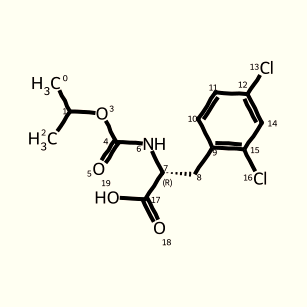 CC(C)OC(=O)N[C@H](Cc1ccc(Cl)cc1Cl)C(=O)O